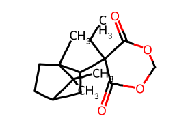 CCC1(C2CC3CCC2(C)C3(C)C)C(=O)OCOC1=O